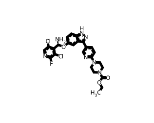 CCOC(=O)N1CCN(c2ccc(-c3n[nH]c4ccc(O[C@H](N)c5c(Cl)cnc(F)c5Cl)cc34)cn2)CC1